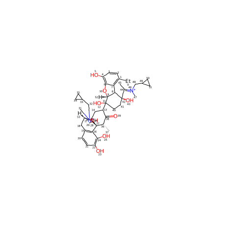 CCc1ccc(O)c2c1C1[C@@H](O2)C(O)(C2C[C@@]3(O)[C@H]4Cc5ccc(O)c(O)c5[C@@]3(CC[N+]4(C)CC3CC3)[C@@H](C)C2=O)CC[C@@]1(O)/C(C)=[N+](\C)CC1CC1